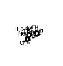 CCOP(=O)(OCC)/C(=N\O)C(=O)C(Oc1ccc(Cl)cc1)c1ccc(Cl)cc1